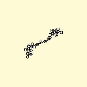 Cc1cc(Nc2ncc(Cl)c(C)n2)c(OC(C)C)cc1C1CCN(CCOCCOCCOCCC(=O)Nc2cccc3c2C(=O)N(C2CCC(=O)NC2=O)C3=O)CC1